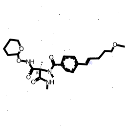 CNC(=O)[C@@](C)(C(=O)NOC1CCCCO1)N(C)C(=O)c1ccc(/C=C/CCCOC)cc1